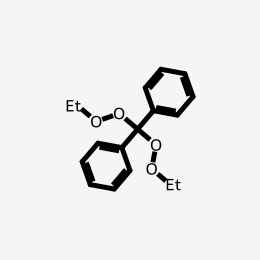 CCOOC(OOCC)(c1ccccc1)c1ccccc1